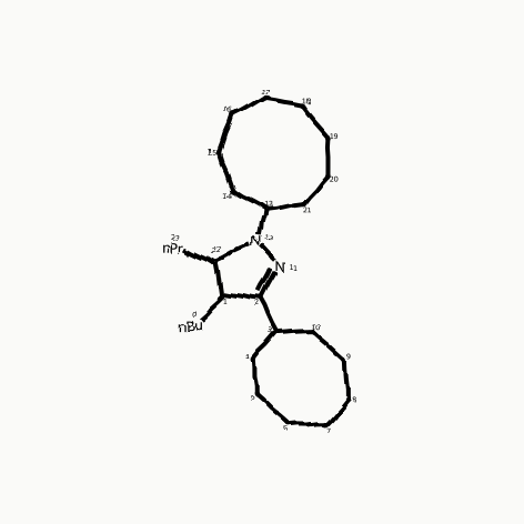 CCCCC1C(C2CCCCCCC2)=NN(C2CCCCCCCC2)C1CCC